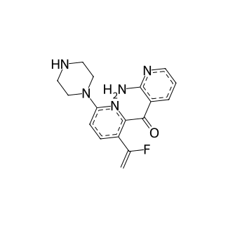 C=C(F)c1ccc(N2CCNCC2)nc1C(=O)c1cccnc1N